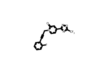 O=c1cc(-c2noc(C(F)(F)F)n2)ccn1CC#Cc1ccccc1F